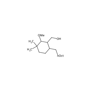 CCCCCCCCCC1CCC(C)(C)C(OC)C1CO